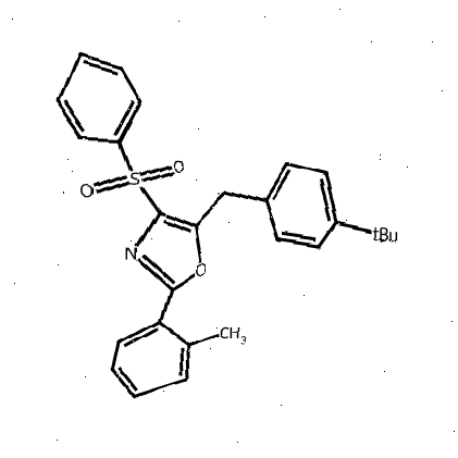 Cc1ccccc1-c1nc(S(=O)(=O)c2ccccc2)c([CH]c2ccc(C(C)(C)C)cc2)o1